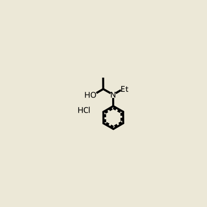 CCN(c1ccccc1)C(C)O.Cl